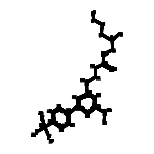 CCCCC(C)COC(=O)CCSc1cc(SC)cc(-c2ccc(C(F)(F)F)cc2)c1